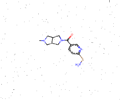 CN1CC2CN(C(=O)c3ccc(SN)nc3)CC2C1